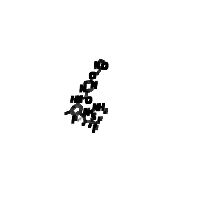 Cc1cc(NC(=O)c2cnc(OCc3ncco3)cn2)cc([C@@]2(C)N=C(N)S[C@](C)(C(F)F)[C@H]2C)c1F